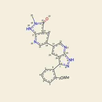 COc1ccccc1-c1n[nH]c2ncc(-c3cnc4[nH]n(C)c(=O)c4c3)cc12